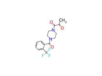 CC(=O)C(=O)N1CCN(C(=O)c2ccccc2C(F)(F)F)CC1